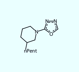 CCCCCC1CCCN(c2nnco2)C1